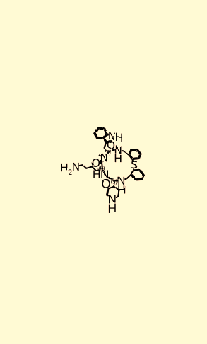 CN1C(=O)[C@H](CCCCN)NC(=O)[C@H](C2CCNCC2)NCC2=C=CC=CC2Sc2ccccc2CNC(=O)[C@@H]1Cc1c[nH]c2ccccc12